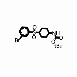 CC(C)(C)OC(=O)NC1CCC(S(=O)(=O)c2cccc(Br)c2)CC1